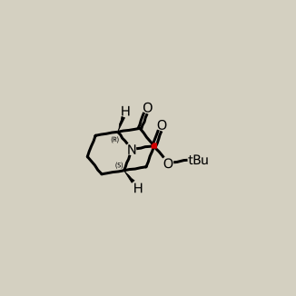 CC(C)(C)OC(=O)N1[C@H]2CCC[C@@H]1C(=O)CC2